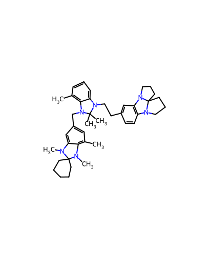 Cc1cccc2c1N(Cc1cc(C)c3c(c1)N(C)C1(CCCCC1)N3C)C(C)(C)N2CCc1ccc2c(c1)N1CCCC13CCCN23